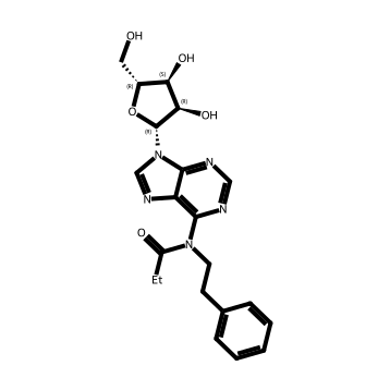 CCC(=O)N(CCc1ccccc1)c1ncnc2c1ncn2[C@@H]1O[C@H](CO)[C@@H](O)[C@H]1O